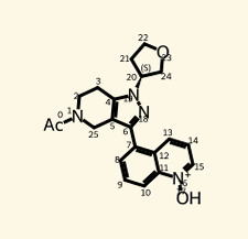 CC(=O)N1CCc2c(c(-c3cccc4c3ccc[n+]4O)nn2[C@H]2CCOC2)C1